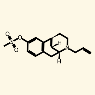 C=CCN1CC[C@]23CCCC[C@H]2[C@H]1Cc1ccc(OS(C)(=O)=O)cc13